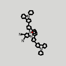 N#Cc1cc(-n2c3ccccc3c3cc(-c4ccc5c(c4)c4ccccc4n5-c4ccccc4)ccc32)c(-n2c3ccccc3c3cc(-c4ccc5c(c4)c4ccccc4n5-c4ccccc4)ccc32)cc1C#N